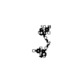 CN(CCCOCc1cn(-c2ccc(Cl)cc2Cl)c2c1CCOc1ccsc1-2)CCCOCc1cn(-c2ccc(Cl)cc2Cl)c2c1CCOc1cc(S(=O)(=O)O)sc1-2